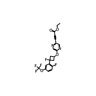 CCOC(=O)C#Cc1cnc(OC2CC(F)(c3cc(OC(F)(F)F)ccc3F)C2)cn1